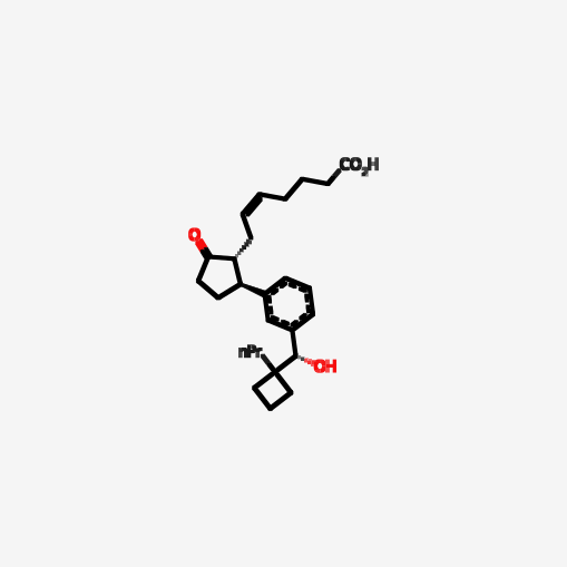 CCCC1([C@@H](O)c2cccc([C@H]3CCC(=O)[C@@H]3C/C=C\CCCC(=O)O)c2)CCC1